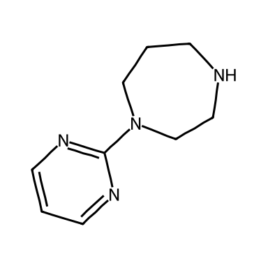 c1cnc(N2CCCNCC2)nc1